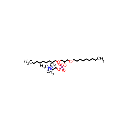 CCCCCCCCCOCC(COCCCCCCCCC)OP(=O)([O-])OCC[N+](C)(C)C